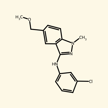 COCc1ccc2c(c1)c(Nc1cccc(Cl)c1)nn2C